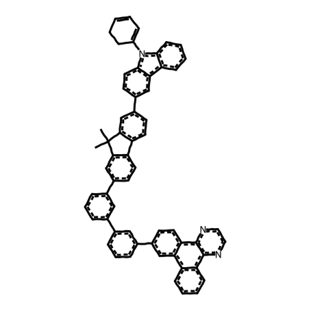 CC1(C)c2cc(-c3cccc(-c4cccc(-c5ccc6c(c5)c5ccccc5c5nccnc65)c4)c3)ccc2-c2ccc(-c3ccc4c(c3)c3ccccc3n4C3=CC=CCC3)cc21